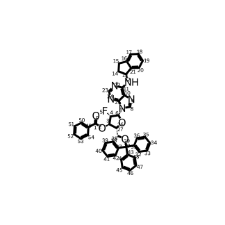 O=C(O[C@H]1[C@H](F)[C@H](n2cnc3c(N[C@H]4CCc5ccccc54)ncnc32)O[C@@H]1COC(c1ccccc1)(c1ccccc1)c1ccccc1)c1ccccc1